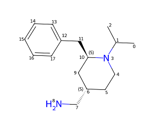 CC(C)N1CC[C@H](CN)C[C@H]1Cc1ccccc1